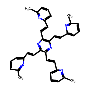 Cc1cccc(C=Cc2nc(C=Cc3cccc(C)n3)c(C=Cc3cccc(C)n3)nc2C=Cc2cccc(C)n2)n1